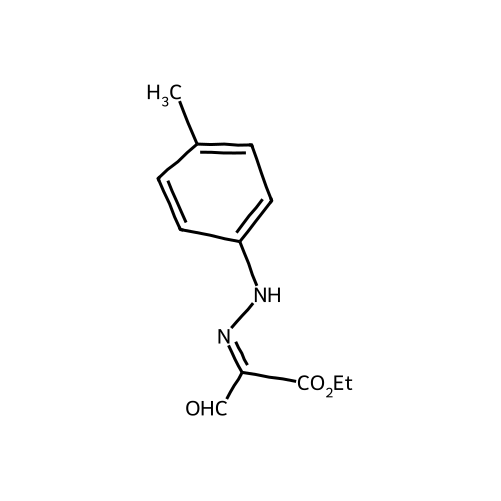 CCOC(=O)/C(C=O)=N\Nc1ccc(C)cc1